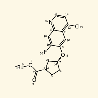 CC(C)(C)OC(=O)N1CC[C@H](Oc2cc3c(Cl)ccnc3cc2F)C1